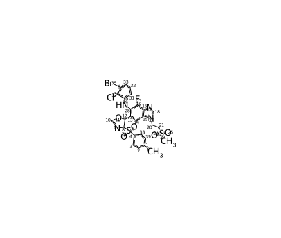 Cc1ccc(S(=O)(=O)C2N=COC2c2cc3c(ncn3CCS(C)(=O)=O)c(F)c2Nc2cccc(Br)c2Cl)cc1